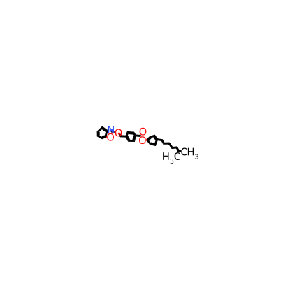 CC(C)CCCCCc1ccc(OC(=O)c2ccc(COc3nc4ccccc4o3)cc2)cc1